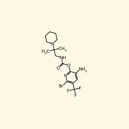 CC(C)(CNC(=O)Oc1nc(Br)c(C(F)(F)F)cc1N)N1CCCCC1